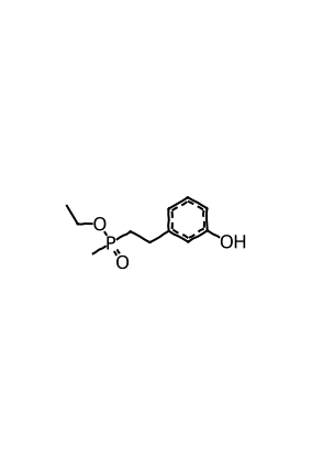 CCOP(C)(=O)CCc1cccc(O)c1